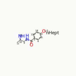 CCCCCCCOc1ccc(C(=O)NCC(C)=N)cc1